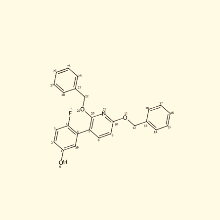 Oc1ccc(F)c(-c2ccc(OCc3ccccc3)nc2OCc2ccccc2)c1